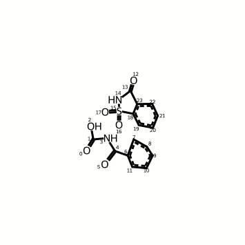 O=C(O)NC(=O)c1ccccc1.O=C1NS(=O)(=O)c2ccccc21